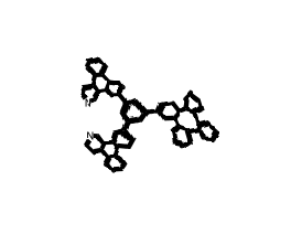 c1ccc2c(c1)-c1ccccc1-c1ccc(-c3cc(-c4ccc5c6ccccc6c6ccncc6c5c4)cc(-c4ccc5c6ccccc6c6ccncc6c5c4)c3)cc1-c1ccccc1-2